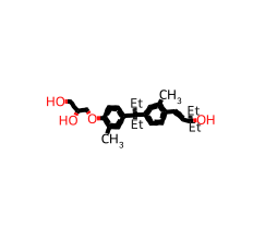 CCC(O)(/C=C/c1ccc(C(CC)(CC)c2ccc(OCC(O)CO)c(C)c2)cc1C)CC